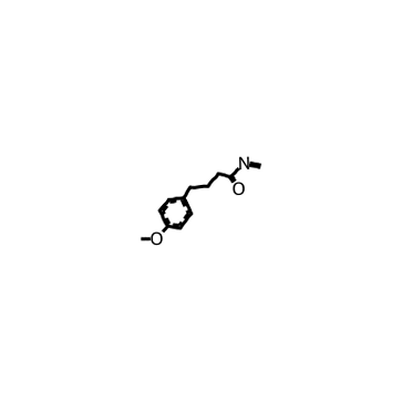 C=NC(=O)CCCc1ccc(OC)cc1